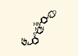 c1cc(Cn2ccnc2)cc(Sc2ccnc(Nc3ccc(N4CCOCC4)cc3)n2)c1